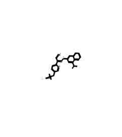 CC(C)c1cc(-c2nccc3c2oc2cc(CC(C)(C)C(F)(F)F)ccc23)cc2ccccc12